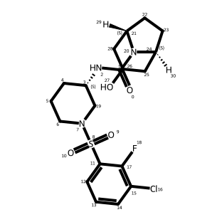 O=C(N[C@H]1CCCN(S(=O)(=O)c2cccc(Cl)c2F)C1)N1[C@H]2CC[C@H]1CC(O)C2